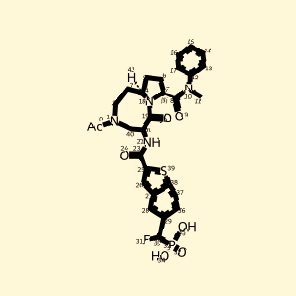 CC(=O)N1CC[C@H]2CC[C@@H](C(=O)N(C)c3ccccc3)N2C(=O)C(NC(=O)c2cc3cc(C(F)P(=O)(O)O)ccc3s2)C1